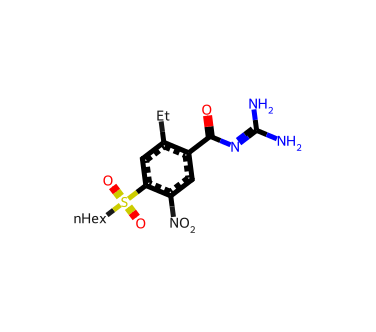 CCCCCCS(=O)(=O)c1cc(CC)c(C(=O)N=C(N)N)cc1[N+](=O)[O-]